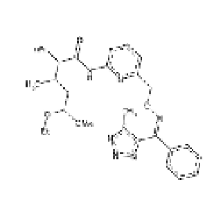 CCCC(C(=O)Nc1cccc(CO/N=C(/c2ccccc2)c2nnnn2C)n1)C(C)CC(OC)OCC